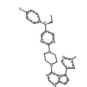 CC[C@H](c1ccc(F)cc1)c1cnc(N2CCN(c3ncnc4ccc(-c5cnn(C)c5)n34)CC2)nc1